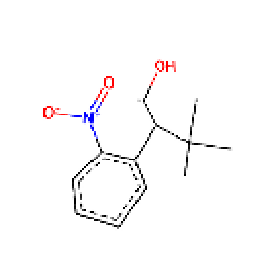 CC(C)(C)C([CH]O)c1ccccc1[N+](=O)[O-]